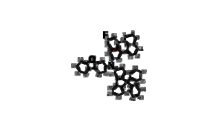 Fc1cccc(-c2cccc3cccc(-c4cccc(N(c5ccc6c(c5)-c5ccccc5C6(c5ccccc5)c5ccccc5)c5ccc6c(c5)oc5ccccc56)c4)c23)c1